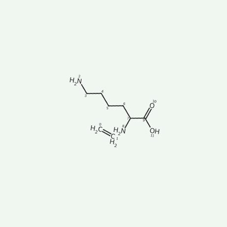 C=C.NCCCCC(N)C(=O)O